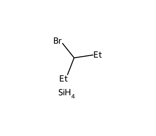 CCC(Br)CC.[SiH4]